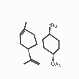 C=C(C)[C@H]1CC=C(C)CC1.CC(=O)O[C@H]1CC[C@@H](C(C)(C)C)CC1